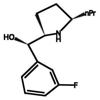 CCC[C@H]1CC[C@@H]([C@@H](O)c2cccc(F)c2)N1